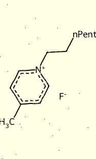 CCCCCCC[n+]1ccc(C)cc1.[F-]